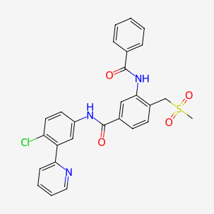 CS(=O)(=O)Cc1ccc(C(=O)Nc2ccc(Cl)c(-c3ccccn3)c2)cc1NC(=O)c1ccccc1